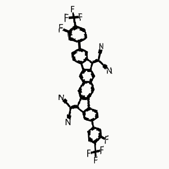 N#CC(C#N)=C1c2cc(-c3ccc(C(F)(F)F)c(F)c3)ccc2-c2cc3cc4c(cc3cc21)-c1ccc(-c2ccc(C(F)(F)F)c(F)c2)cc1C4=C(C#N)C#N